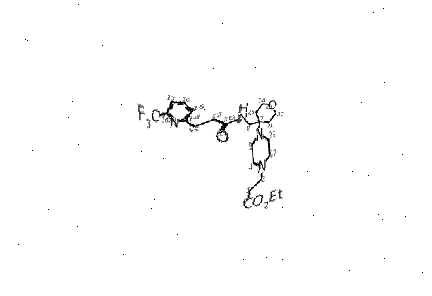 CCOC(=O)CCN1CCN(C2(CNC(=O)CCc3cccc(C(F)(F)F)n3)CCOCC2)CC1